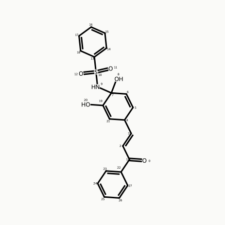 O=C(/C=C/C1C=CC(O)(NS(=O)(=O)c2ccccc2)C(O)=C1)c1ccccc1